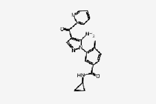 Cc1ccc(C(=O)NC2CC2)cc1-n1ncc(C(=O)c2ccccn2)c1N